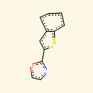 c1ccc2sc(-c3ncco3)cc2c1